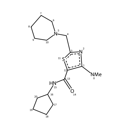 CNc1nc(CN2CCCCC2)sc1C(=O)NC1CCCC1